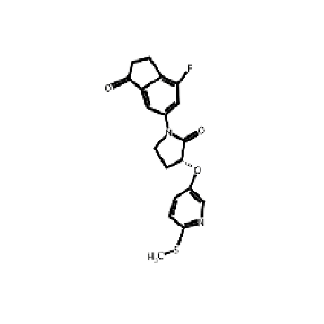 CSc1ccc(O[C@@H]2CCN(c3cc(F)c4c(c3)C(=O)CC4)C2=O)cn1